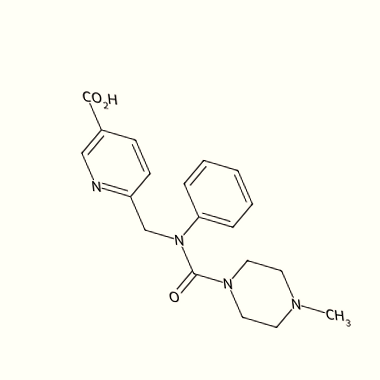 CN1CCN(C(=O)N(Cc2ccc(C(=O)O)cn2)c2ccccc2)CC1